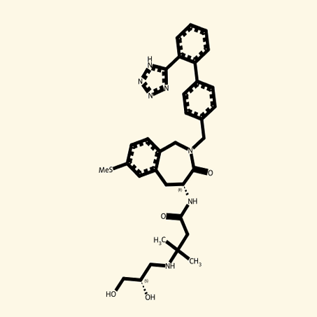 CSc1ccc2c(c1)C[C@@H](NC(=O)CC(C)(C)NC[C@H](O)CO)C(=O)N(Cc1ccc(-c3ccccc3-c3nnn[nH]3)cc1)C2